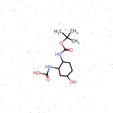 CC(C)(C)OC(=O)NC1CCC(O)CC1NC(=O)O